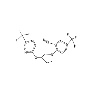 N#Cc1cc(C(F)(F)F)ccc1N1CCC(Oc2ccc(C(F)(F)F)cn2)C1